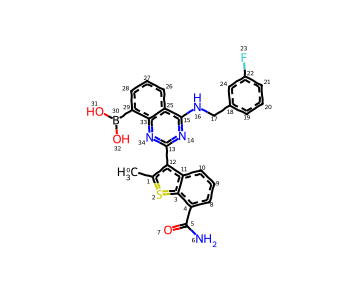 Cc1sc2c(C(N)=O)cccc2c1-c1nc(NCc2cccc(F)c2)c2cccc(B(O)O)c2n1